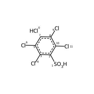 Cl.O=S(=O)(O)c1c(Cl)c(Cl)cc(Cl)c1Cl